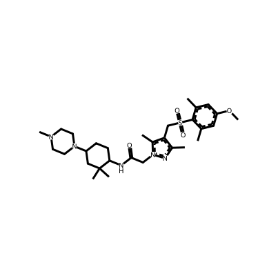 COc1cc(C)c(S(=O)(=O)Cc2c(C)nn(CC(=O)NC3CCC(N4CCN(C)CC4)CC3(C)C)c2C)c(C)c1